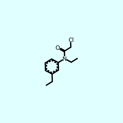 CCc1cccc(N(CC)C(=O)CCl)c1